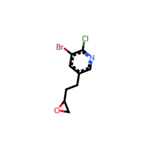 Clc1ncc(CCC2CO2)cc1Br